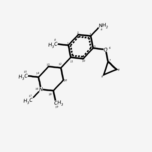 Cc1cc(N)c(OC2CC2)cc1C1CC(C)N(C)C(C)C1